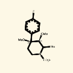 CO[C@H]1C(C(C)(C)C)N(C(=O)O)CC[C@]1(OC)c1ccc(F)cc1